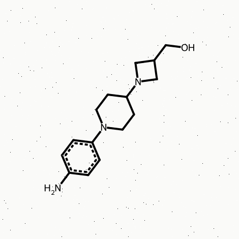 Nc1ccc(N2CCC(N3CC(CO)C3)CC2)cc1